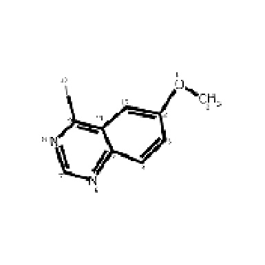 COc1ccc2ncnc(I)c2c1